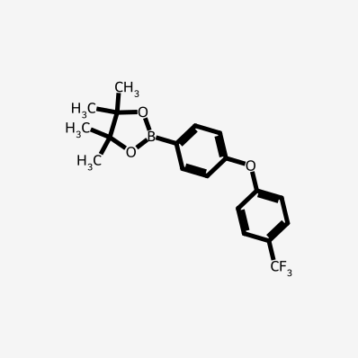 CC1(C)OB(c2ccc(Oc3ccc(C(F)(F)F)cc3)cc2)OC1(C)C